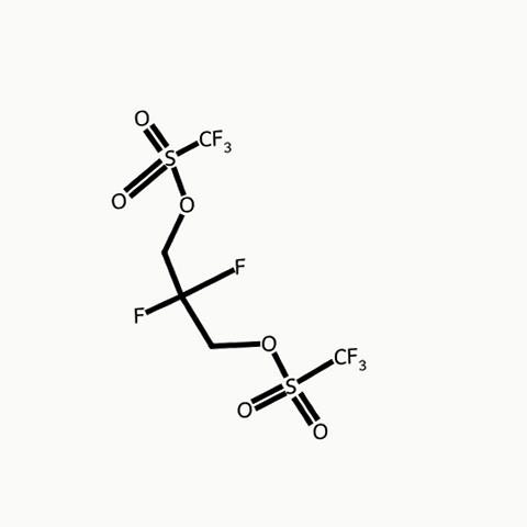 O=S(=O)(OCC(F)(F)COS(=O)(=O)C(F)(F)F)C(F)(F)F